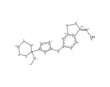 COC1(c2csc(Sc3ccc4c(c3)CC/C4=N/O)c2)CCOCC1